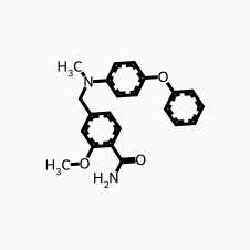 COc1cc(CN(C)c2ccc(Oc3ccccc3)cc2)ccc1C(N)=O